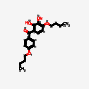 CCCCOc1ccc(C(=O)c2ccc(OCCCC)c(O)c2O)cc1